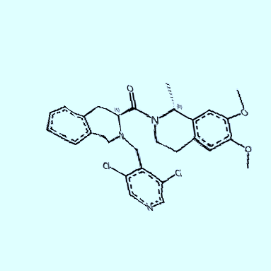 COc1cc2c(cc1OC)[C@@H](C)N(C(=O)[C@@H]1Cc3ccccc3CN1Cc1c(Cl)cncc1Cl)CC2